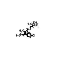 Cc1c(C=NO)c2cnc(Cl)nc2n1COCC[Si](C)(C)C